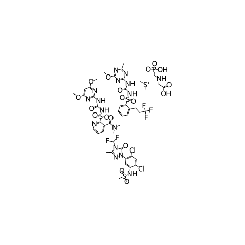 COc1cc(OC)nc(NC(=O)NS(=O)(=O)c2ncccc2C(=O)N(C)C)n1.COc1nc(C)nc(NC(=O)NS(=O)(=O)c2ccccc2CCC(F)(F)F)n1.C[S+](C)C.Cc1nn(-c2cc(NS(C)(=O)=O)c(Cl)cc2Cl)c(=O)n1C(F)F.O=C(O)CNCP(=O)([O-])O